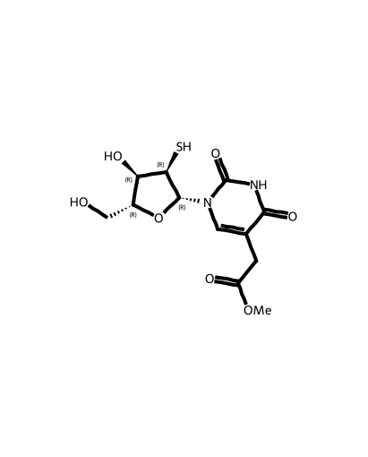 COC(=O)Cc1cn([C@@H]2O[C@H](CO)[C@@H](O)[C@H]2S)c(=O)[nH]c1=O